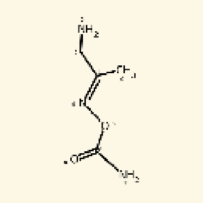 C/C(CN)=N\OC(N)=O